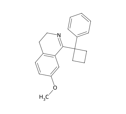 COc1ccc2c(c1)C(C1(c3ccccc3)CCC1)=NCC2